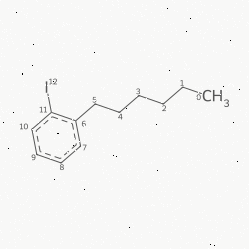 CCCCCCc1ccccc1I